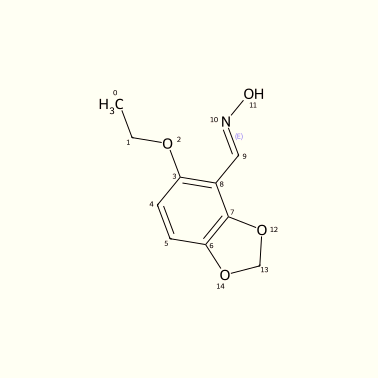 CCOc1ccc2c(c1/C=N/O)OCO2